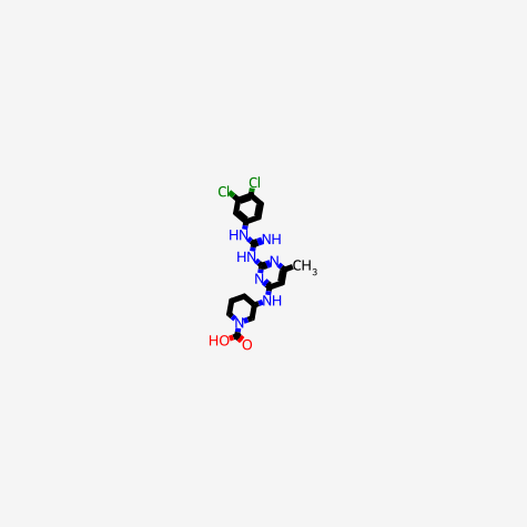 Cc1cc(NC2CCCN(C(=O)O)C2)nc(NC(=N)Nc2ccc(Cl)c(Cl)c2)n1